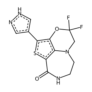 O=C1NCCN2CC(F)(F)Oc3c(-c4cn[nH]c4)sc1c32